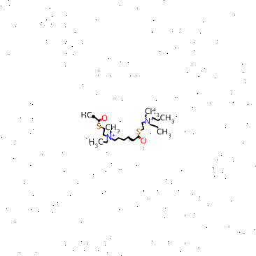 C#CC(=O)SCC[N+](CC)(CC)CCC/C=C/C(=O)SCC[N+](CC)(CCC)CCC